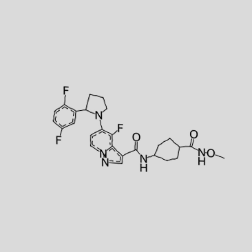 CONC(=O)C1CCC(NC(=O)c2cnn3ccc(N4CCCC4c4cc(F)ccc4F)c(F)c23)CC1